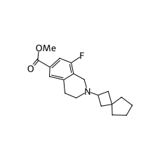 COC(=O)c1cc(F)c2c(c1)CCN(C1CC3(CCCC3)C1)C2